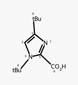 CC(C)(C)c1cn(C(C)(C)C)c(C(=O)O)n1